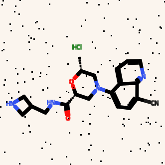 C[C@@H]1CN(c2ccc(C#N)c3ncccc23)C[C@H](C(=O)NCC2CNC2)O1.Cl